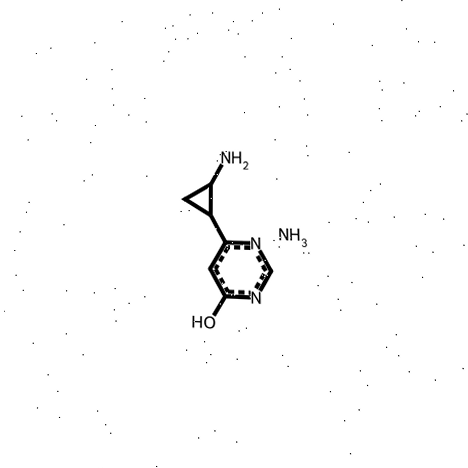 N.NC1CC1c1cc(O)ncn1